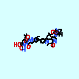 CCn1c(-c2cc(N3CCN4CCC[C@@H]4C3)cnc2C(C)OC)c(CC(C)(C)COC(C)=O)c2cc(-c3cccc(CC(NC(=O)OC(C)(C)C)C(=O)N4CCC[C@@H](C(=O)O)N4)c3)ccc21